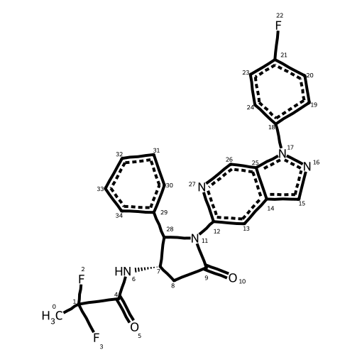 CC(F)(F)C(=O)N[C@H]1CC(=O)N(c2cc3cnn(-c4ccc(F)cc4)c3cn2)C1c1ccccc1